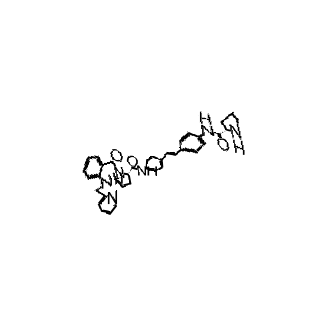 O=C(Nc1ccc(/C=C/c2ccc(NC(=O)[C@@H]3CCCN3C(=O)c3ccccc3NCc3ccccn3)cc2)cc1)[C@@H]1CCCN1